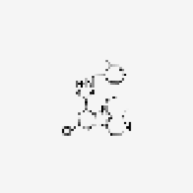 CCn1c2c(-c3cnn(CC4C=CC=CC4C)c3)cc(Cl)cc2c2ccnc(C)c21